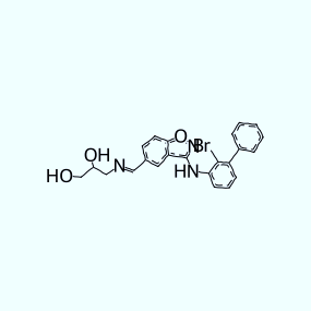 OCC(O)CN=Cc1ccc2onc(Nc3cccc(-c4ccccc4)c3Br)c2c1